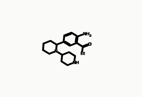 CCC(=O)c1cc(C2CCCCN2C2CCNCC2)ccc1N